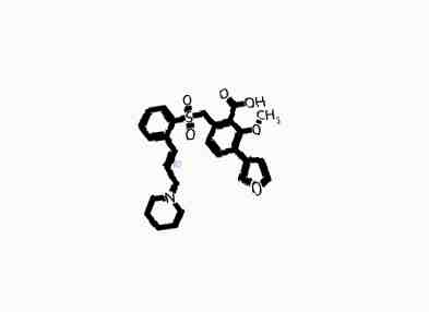 COc1c(-c2ccoc2)ccc(CS(=O)(=O)c2ccccc2/C=C/CN2CCCCC2)c1C(=O)O